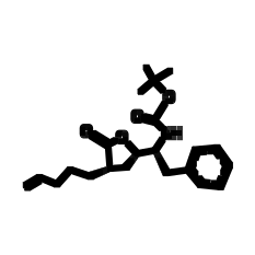 C=CCCC[C@@H]1C[C@H]([C@H](Cc2ccccc2)NC(=O)OC(C)(C)C)OC1=O